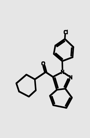 O=C(c1c2ccccc2nn1-c1ccc(Cl)cc1)C1CCCCC1